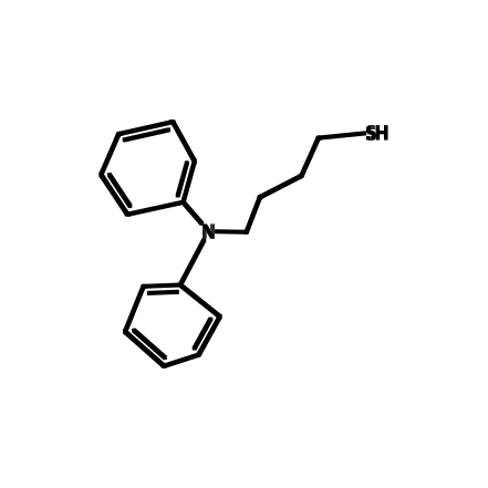 SCCCCN(c1ccccc1)c1ccccc1